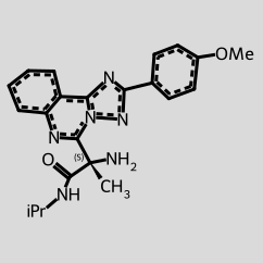 COc1ccc(-c2nc3c4ccccc4nc([C@](C)(N)C(=O)NC(C)C)n3n2)cc1